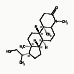 CC(CO)[C@H]1CC[C@H]2[C@@H]3CCC4N(C)C(=O)CC[C@]4(C)[C@H]3CC[C@]12C